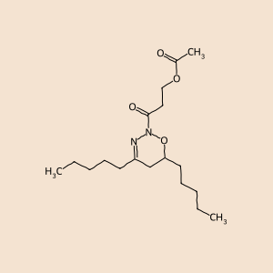 CCCCCC1=NN(C(=O)CCOC(C)=O)OC(CCCCC)C1